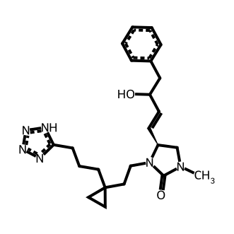 CN1C[C@H](/C=C/C(O)Cc2ccccc2)N(CCC2(CCCc3nnn[nH]3)CC2)C1=O